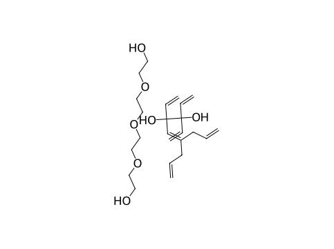 C=CCC(=CC(O)(C=C)C(O)(C=C)C=C)CC=C.OCCOCCOCCOCCO